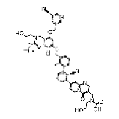 Cc1c(COc2cc(OCc3cncc(C#N)c3)c(CN(CCO)C(=O)OC(C)(C)C)cc2Cl)cccc1-c1cccc(-c2ccn3c(=O)c(CN(CCO)C(=O)O)cnc3c2)c1C#N